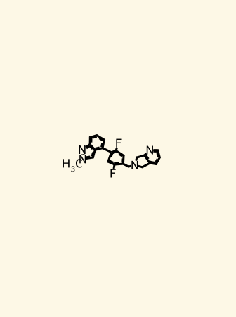 Cn1cc2c(-c3cc(F)c(CN4Cc5cccnc5C4)cc3F)cccc2n1